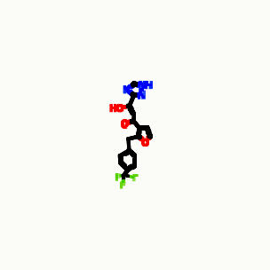 O=C(C=C(O)c1nc[nH]n1)c1ccoc1Cc1ccc(C(F)(F)F)cc1